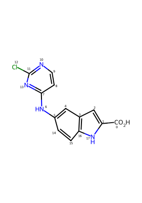 O=C(O)c1cc2cc(Nc3ccnc(Cl)n3)ccc2[nH]1